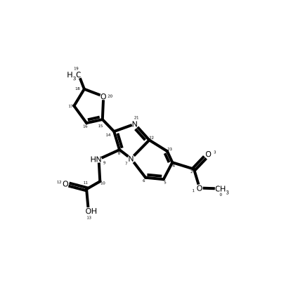 COC(=O)c1ccn2c(NCC(=O)O)c(C3=CCC(C)O3)nc2c1